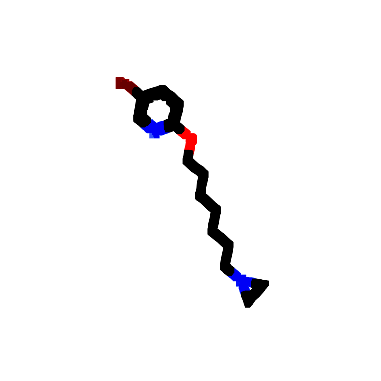 Brc1ccc(OCCCCCCCN2CC2)nc1